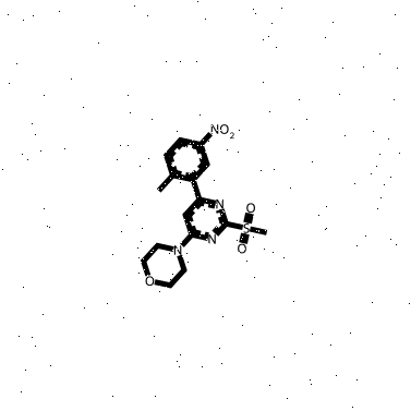 Cc1ccc([N+](=O)[O-])cc1-c1cc(N2CCOCC2)nc(S(C)(=O)=O)n1